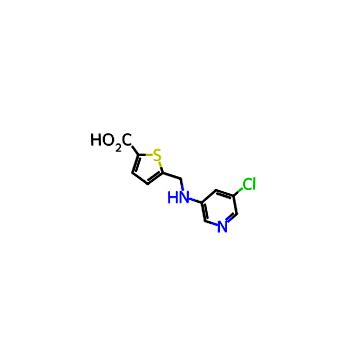 O=C(O)c1ccc(CNc2cncc(Cl)c2)s1